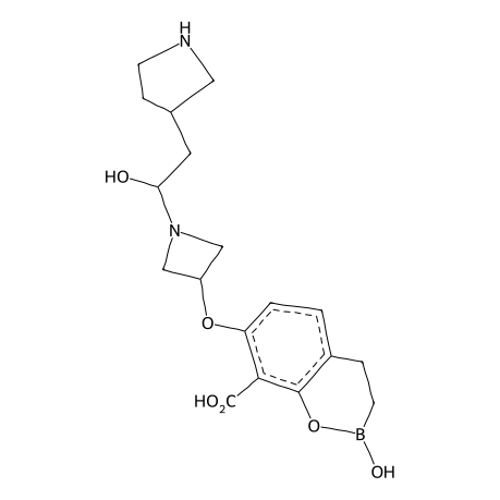 O=C(O)c1c(OC2CN(C(O)CC3CCNC3)C2)ccc2c1OB(O)CC2